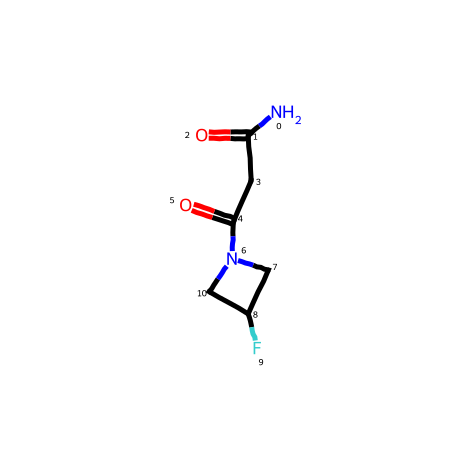 NC(=O)[CH]C(=O)N1CC(F)C1